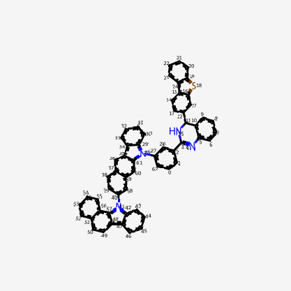 c1cc(C2=Nc3ccccc3C(c3ccc4c(c3)sc3ccccc34)N2)cc(-n2c3ccccc3c3cc4ccc(-n5c6ccccc6c6ccc7ccccc7c65)cc4cc32)c1